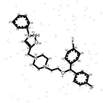 Fc1ccc(C(OCCN2CCN(CC3=CN(c4ccccc4)NO3)CC2)c2ccc(F)cc2)cc1